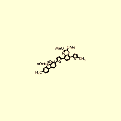 CCCCCCCC[Si]1(CCCCCCCC)c2cc(C)ccc2-c2ccc(-c3ccc(-c4ccc(-c5ccc(C)s5)c5nc(OC)c(OC)nc45)s3)cc21